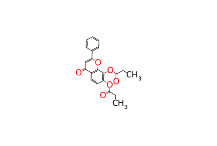 CCC(=O)Oc1ccc2c(=O)cc(-c3ccccc3)oc2c1OC(=O)CC